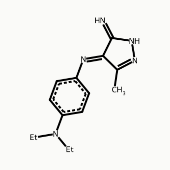 CCN(CC)c1ccc(N=C2C(=N)NN=C2C)cc1